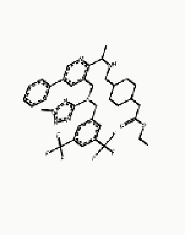 CCOC(=O)CC1CCC(CNC(C)c2ncc(-c3ccccc3)cc2CN(Cc2cc(C(F)(F)F)cc(C(F)(F)F)c2)c2nnn(C)n2)CC1